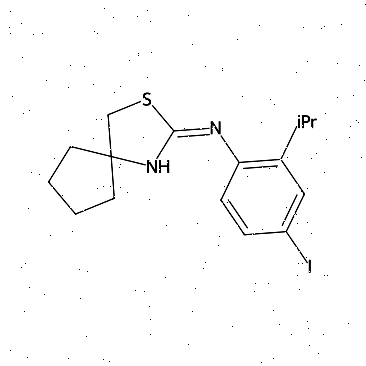 CC(C)c1cc(I)ccc1/N=C1\NC2(CCCC2)CS1